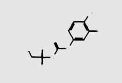 CC(C)(C)CC(C)(C)NC(=O)Nc1ccc(O)c(Cl)c1